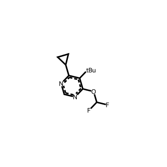 CC(C)(C)c1c(OC(F)F)ncnc1C1CC1